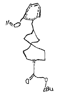 COc1ccccc1C1CC2(CCN(C(=O)OC(C)(C)C)CC2)C1